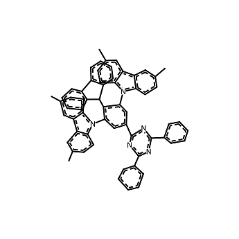 Cc1ccc2c(c1)c1cc(C)ccc1n2-c1cc(-c2nc(-c3ccccc3)nc(-c3ccccc3)n2)cc(-n2c3ccc(C)cc3c3cc(C)ccc32)c1C1c2ccccc2-c2ccccc21